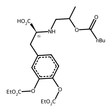 CCCCC(=O)OC(C)CN[C@@H](Cc1ccc(OC(=O)OCC)c(OC(=O)OCC)c1)C(=O)O